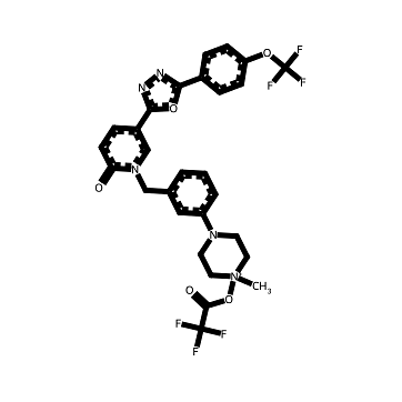 C[N+]1(OC(=O)C(F)(F)F)CCN(c2cccc(Cn3cc(-c4nnc(-c5ccc(OC(F)(F)F)cc5)o4)ccc3=O)c2)CC1